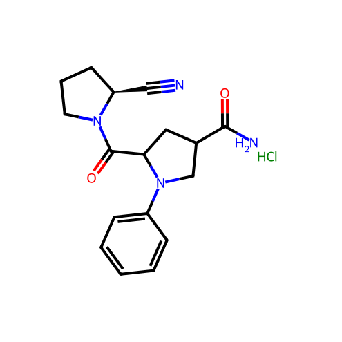 Cl.N#C[C@@H]1CCCN1C(=O)C1CC(C(N)=O)CN1c1ccccc1